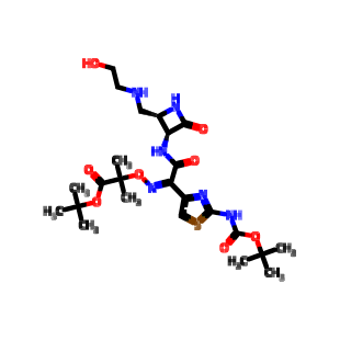 CC(C)(C)OC(=O)Nc1nc(/C(=N/OC(C)(C)C(=O)OC(C)(C)C)C(=O)N[C@@H]2C(=O)N[C@@H]2CNCCO)cs1